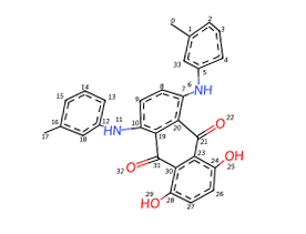 Cc1cccc(Nc2ccc(Nc3cccc(C)c3)c3c2C(=O)c2c(O)ccc(O)c2C3=O)c1